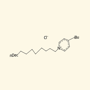 CCCCCCCCCCCCCCCCCC[n+]1ccc(C(C)CC)cc1.[Cl-]